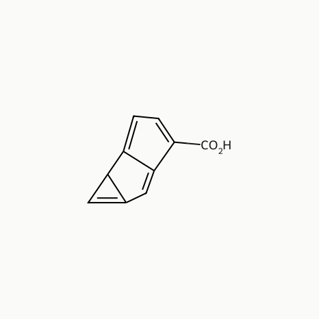 O=C(O)C1=CC=C2C1=CC1=CC12